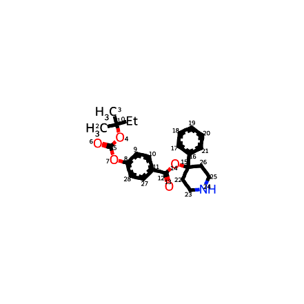 CCC(C)(C)OC(=O)Oc1ccc(C(=O)OC2(c3ccccc3)CCNCC2)cc1